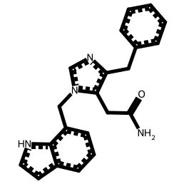 NC(=O)Cc1c(Cc2ccccc2)ncn1Cc1cccc2cc[nH]c12